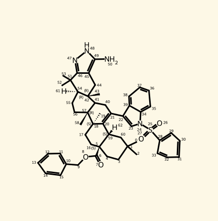 CC1(C)CC[C@]2(C(=O)OCc3ccccc3)CC[C@]3(C)C(=C(c4cn(S(=O)(=O)c5ccccc5)c5ccccc45)CC4[C@@]5(C)Cc6c(n[nH]c6N)C(C)(C)[C@@H]5CC[C@]43C)[C@@H]2C1